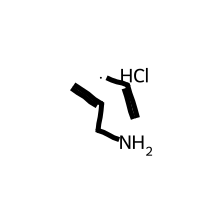 C=CCN.Cl.[CH2]C=C